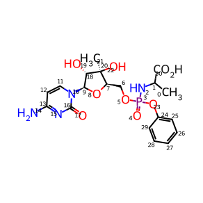 CC(NP(=O)(OC[C@H]1O[C@@H](n2ccc(N)nc2=O)[C@H](O)[C@@]1(C)O)Oc1ccccc1)C(=O)O